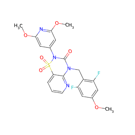 COc1cc(F)c(CN2C(=O)N(c3cc(OC)nc(OC)c3)S(=O)(=O)c3cccnc32)c(F)c1